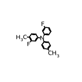 Cc1ccc(N(c2cccc(F)c2)c2ccc(C)c(F)c2)cc1